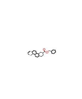 O=C(OCc1ccccc1)C1CCc2ccc3c4c(ccc3c2C1)C=CCC4